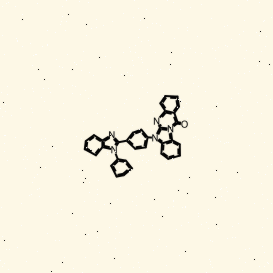 O=c1c2ccccc2nc2n(-c3ccc(-c4nc5ccccc5n4-c4ccccc4)cc3)c3ccccc3n12